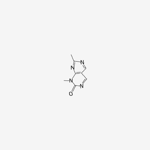 Cc1ncc2cnc(=O)n(C)c2n1